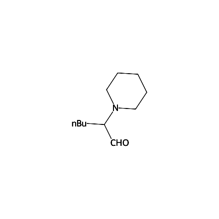 CCCCC(C=O)N1CCCCC1